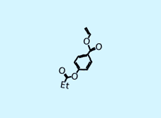 C=COC(=O)c1ccc(OC(=O)CC)cc1